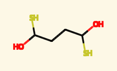 OC(S)CCC(O)S